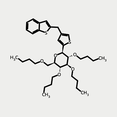 CCCCOC[C@H]1O[C@@H](c2cc(Cc3cc4ccccc4s3)cs2)[C@H](OCCCC)[C@@H](OCCCC)[C@@H]1OCCCC